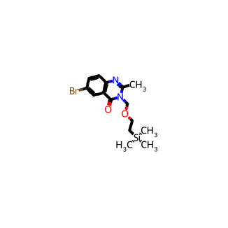 Cc1nc2ccc(Br)cc2c(=O)n1COCC[Si](C)(C)C